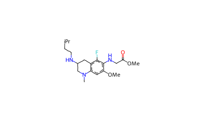 COC(=O)CNc1c(OC)cc2c(c1F)CC(NCCC(C)C)CN2C